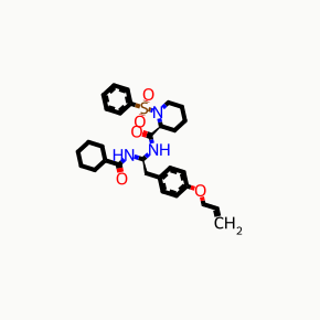 C=CCOc1ccc(C[C@@H](NC(=O)C2CCCCC2)NC(=O)[C@@H]2CCCCN2S(=O)(=O)c2ccccc2)cc1